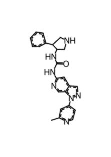 Cc1cc(-n2ncc3cc(NC(=O)NC4CNCC4c4ccccc4)ncc32)ccn1